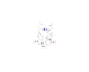 CC(C)CC(N)COCN1C(=O)CN(C(C)C(C)N2CC(=O)N(COCC(N)CC(C)C)C(=O)C2)CC1=O